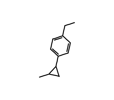 CCc1ccc(C2CC2C)cc1